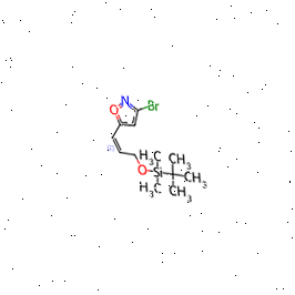 CC(C)(C)[Si](C)(C)OC/C=C\c1cc(Br)no1